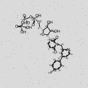 O=c1ccn([C@@H]2O[C@H](COP(=O)(O)OP(=O)(O)OP(=O)(O)O)C(O)C2O)c(=O)n1Cc1cc(-c2ccc(F)cc2)ccn1